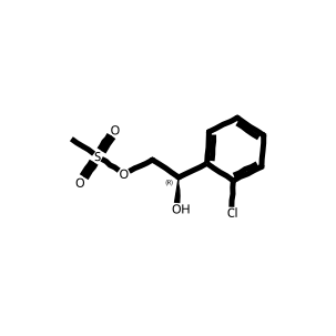 CS(=O)(=O)OC[C@H](O)c1ccccc1Cl